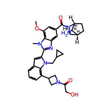 COc1cc(C(=O)N2C[C@H]3CC[C@@H]2[C@@H]3N)cc2nc(-c3cc4cccc(C5CN(C(=O)CO)C5)c4n3CC3CC3)n(C)c12